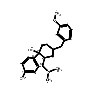 COc1cccc(CC2CCC(O)(c3ccc(Cl)cc3)C(CN(C)C)C2)c1